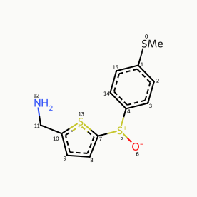 CSc1ccc([S+]([O-])c2ccc(CN)s2)cc1